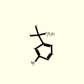 CCOC(=O)C(C)(C)c1cccc(C#N)c1